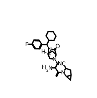 C=C(C(N)CN1C[C@@H]2CC1C(=O)N2C(c1ccc(F)cc1)C1CCCCC1)N1C(C#N)CC2CC21